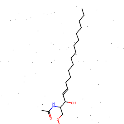 CCCCCCCCCCCCC/C=C/C(O)C(COO)NC(C)=O